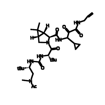 C=CCNC(=O)C(=O)C(NC(=O)[C@@H]1[C@@H]2[C@H](CN1C(=O)[C@@H](NC(=O)N[C@H](CN(C)C(C)=O)C(C)(C)C)C(C)(C)C)C2(C)C)C1CC1